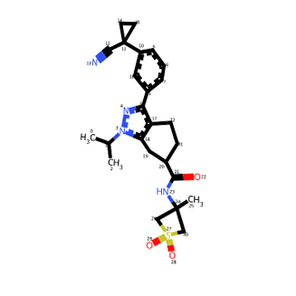 CC(C)n1nc(-c2cccc(C3(C#N)CC3)c2)c2c1CC(C(=O)NC1(C)CS(=O)(=O)C1)CC2